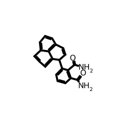 NC(=O)c1cccc(C2C=Cc3cccc4cccc2c34)c1C(N)=O